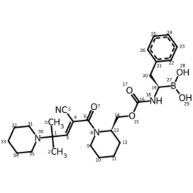 CC(C)(C=C(C#N)C(=O)N1CCCC[C@@H]1COC(=O)N[C@@H](Cc1ccccc1)B(O)O)N1CCCCC1